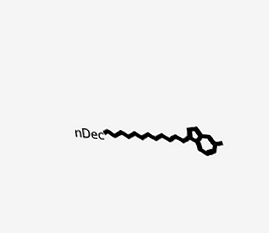 CCCCCCCCCCCCCCCCCCCCCCc1ccc2cc(C)cccc1-2